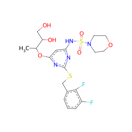 CC(Oc1cc(NS(=O)(=O)N2CCOCC2)nc(SCc2cccc(F)c2F)n1)C(O)CO